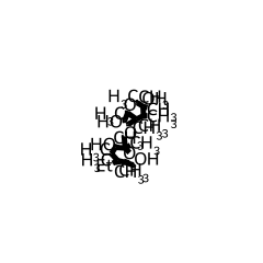 CCC1(C)C(C)(CO)OC(C)(COCC2(C)C(C)(CO)OC(C)(C)C(C)(O)C2(C)C)C(C)(O)C1(C)C